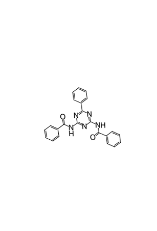 O=C(Nc1nc(NC(=O)c2ccccc2)nc(-c2ccccc2)n1)c1ccccc1